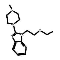 CCOCCn1c(N2CCN(C)CC2)nc2cccnc21